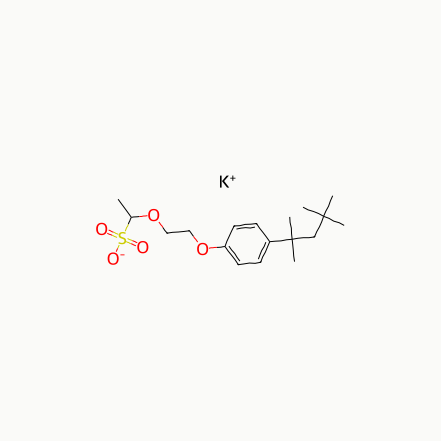 CC(OCCOc1ccc(C(C)(C)CC(C)(C)C)cc1)S(=O)(=O)[O-].[K+]